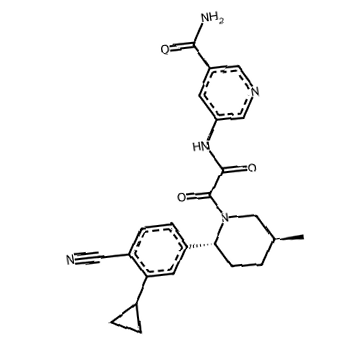 C[C@H]1CC[C@H](c2ccc(C#N)c(C3CC3)c2)N(C(=O)C(=O)Nc2cncc(C(N)=O)c2)C1